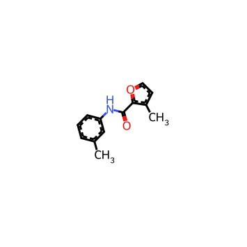 Cc1cccc(NC(=O)c2occc2C)c1